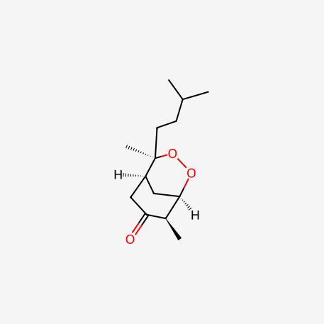 CC(C)CC[C@@]1(C)OO[C@@H]2C[C@H]1CC(=O)[C@@H]2C